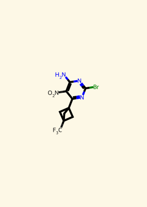 Nc1nc(Br)nc(C23CC(C(F)(F)F)(C2)C3)c1[N+](=O)[O-]